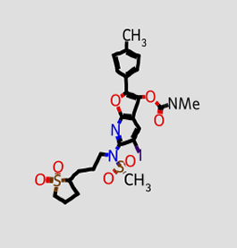 CNC(=O)Oc1c(-c2ccc(C)cc2)oc2nc(N(CCCC3CCCS3(=O)=O)S(C)(=O)=O)c(I)cc12